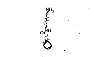 NCCOCCOCCNC(=O)OC[C@H]1[C@@H]2CCC#CCC[C@@H]21